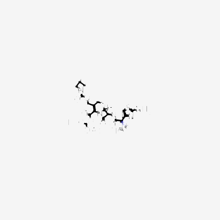 CC(=O)OC(C)OC(=O)C1=C(COC(=O)N2CCC2)CS[C@H]2C(NC(=O)/C(=N\O)c3csc(N)n3)C(=O)N12